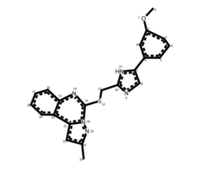 COc1cccc(-c2cnc(CSc3nc4ccccc4c4cc(C)nn34)[nH]2)c1